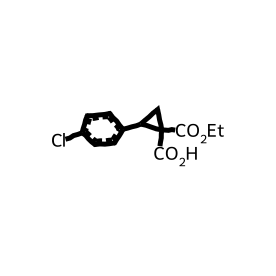 CCOC(=O)C1(C(=O)O)CC1c1ccc(Cl)cc1